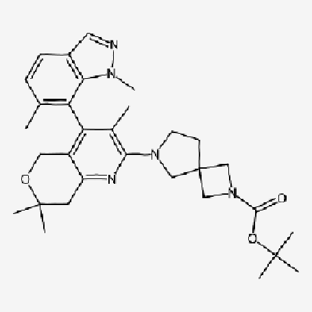 Cc1ccc2cnn(C)c2c1-c1c(C)c(N2CCC3(CN(C(=O)OC(C)(C)C)C3)C2)nc2c1COC(C)(C)C2